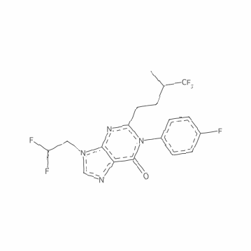 CC(CCc1nc2c(ncn2CC(F)F)c(=O)n1-c1ccc(F)cc1)C(F)(F)F